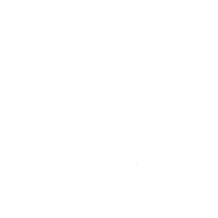 CC(C)(C)OOC(=O)c1ccc(C=Cc2ccccc2)cc1